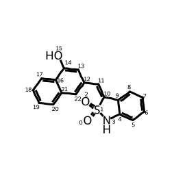 O=S1(=O)Nc2ccccc2C1=Cc1cc(O)c2ccccc2c1